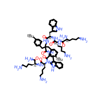 CC(C)(C)c1ccc(CC(CNC(=O)[C@@H](Cc2c[nH]c3ccccc23)NC(=O)[C@@H](CCCCN)NC(=O)[C@H](N)CCCCN)(Cc2ccc(C(C)(C)C)cc2)C(=O)N[C@@H](Cc2c[nH]c3ccccc23)C(=O)N[C@@H](CCCCN)C(=O)N[C@@H](CCCCN)C(N)=O)cc1